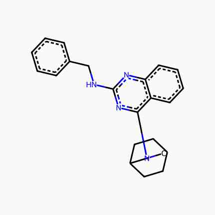 c1ccc(CNc2nc(N3CC4CCC(CC4)C3)c3ccccc3n2)cc1